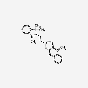 C[N+]1=C(/C=C/c2ccc3c(c2)nc2ccccc2[n+]3C)C(C)(C)c2ccccc21